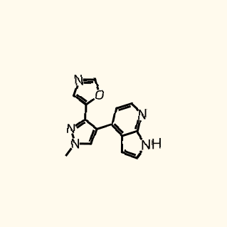 Cn1cc(-c2ccnc3[nH]ccc23)c(-c2cnco2)n1